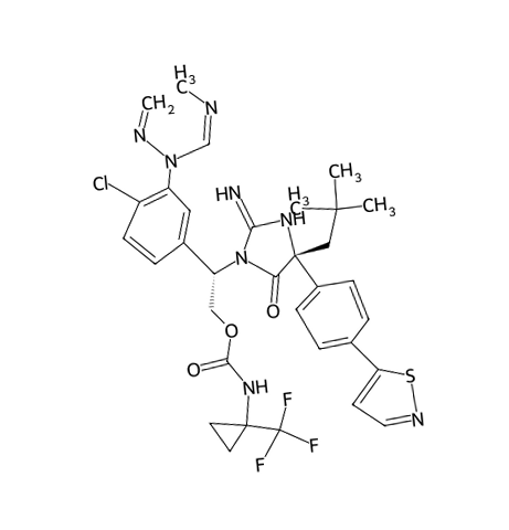 C=NN(/C=N\C)c1cc([C@@H](COC(=O)NC2(C(F)(F)F)CC2)N2C(=N)N[C@](CC(C)(C)C)(c3ccc(-c4ccns4)cc3)C2=O)ccc1Cl